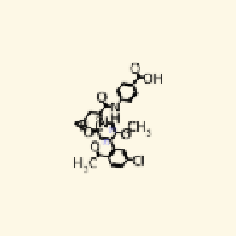 COC(=C/N(C)[C@@H](CC1CC1)C(=O)Nc1ccc(C(=O)O)cc1)/C(=C\C=O)c1cc(Cl)ccc1C(C)=O